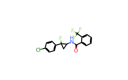 O=C(NC1CC1(F)c1ccc(Cl)cc1)c1ccccc1C(F)(F)F